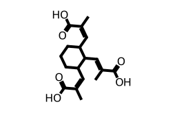 CC(=CC1CCCC(C=C(C)C(=O)O)C1C=C(C)C(=O)O)C(=O)O